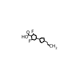 C=CCc1ccc(-c2cc(F)c(C(=O)O)c(F)c2)cc1